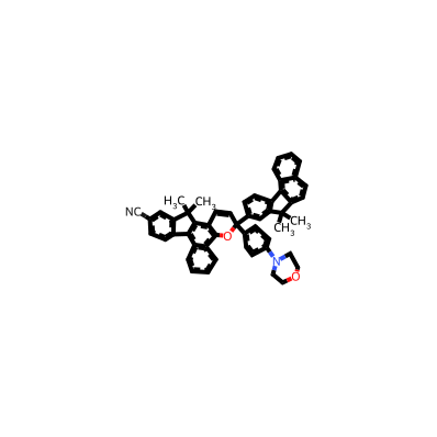 CC1(C)c2cc(C3(c4ccc(N5CCOCC5)cc4)C=Cc4c5c(c6ccccc6c4O3)-c3ccc(C#N)cc3C5(C)C)ccc2-c2c1ccc1ccccc21